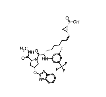 CNC(=O)[C@@H]1C[C@@H](Oc2nc3ccccc3s2)CN1C(=O)[C@H](CCCCC/C=C\[C@@H]1C[C@@H]1C(=O)O)Nc1cc(F)cc(C(F)(F)F)c1